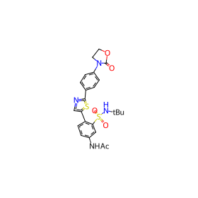 CC(=O)Nc1ccc(-c2cnc(-c3ccc(N4CCOC4=O)cc3)s2)c(S(=O)(=O)NC(C)(C)C)c1